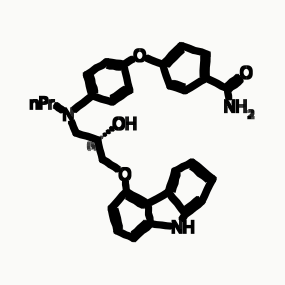 CCCN(C[C@H](O)COc1cccc2[nH]c3ccccc3c12)c1ccc(Oc2ccc(C(N)=O)cc2)cc1